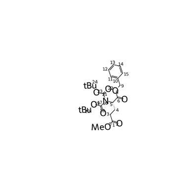 COC(=O)CC[C@@H](C(=O)OCc1ccccc1)N(C(=O)OC(C)(C)C)C(=O)OC(C)(C)C